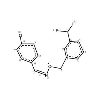 FC(F)c1cccc(CO/N=[C]\c2ccc(Cl)cc2)c1